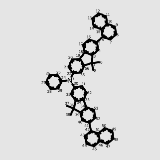 CC1(C)c2cc(-c3cccc4ccccc34)ccc2-c2ccc(N(c3ccccc3)c3ccc4c(c3)C(C)(C)c3cc(-c5cccc6ccccc56)ccc3-4)cc21